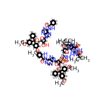 COc1ccc(C(OC[C@H]2O[C@@H](n3cnc4c(NC(=O)c5ccccc5)ncnc43)C[C@@H]2O)(c2ccccc2)c2ccc(OC)cc2)cc1.COc1ccc(C(OC[C@H]2O[C@@H](n3cnc4c(NC(=O)c5ccccc5)ncnc43)C[C@@H]2OS(=O)(=O)NC[C@@H]2C[C@@H](O[Si](C)(C)C(C)(C)C)[C@H](n3cnc4c(=O)[nH]c(NC(=O)C(C)C)nc43)O2)(c2ccccc2)c2ccc(OC)cc2)cc1